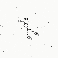 CCCCN(CCCC)c1ccc(C(=N)N)cc1